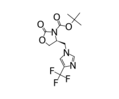 CC(C)(C)OC(=O)N1C(=O)OC[C@@H]1Cn1cnc(C(F)(F)F)c1